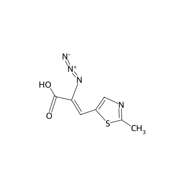 Cc1ncc(C=C(N=[N+]=[N-])C(=O)O)s1